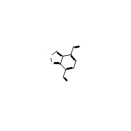 O=Cc1ccc(C=O)c2nscc12